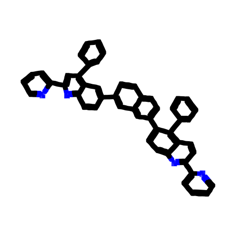 c1ccc(-c2cc(-c3ccccn3)nc3ccc(-c4ccc5ccc(-c6ccc7nc(-c8ccccn8)ccc7c6-c6ccccc6)cc5c4)cc23)cc1